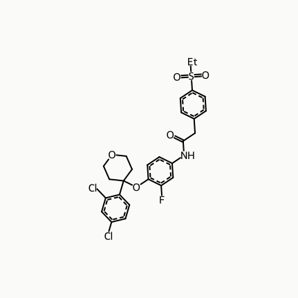 CCS(=O)(=O)c1ccc(CC(=O)Nc2ccc(OC3(c4ccc(Cl)cc4Cl)CCOCC3)c(F)c2)cc1